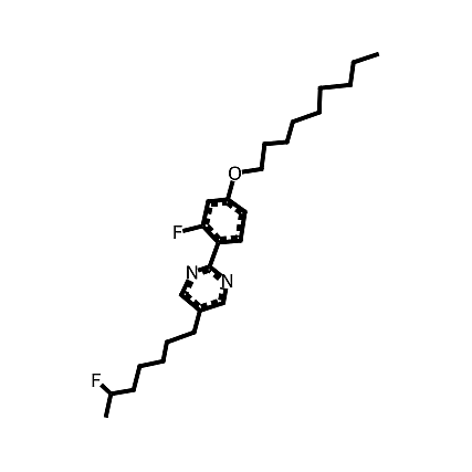 CCCCCCCCCOc1ccc(-c2ncc(CCCCCC(C)F)cn2)c(F)c1